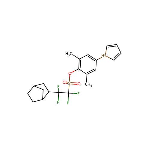 Cc1cc([SH]2C=CC=C2)cc(C)c1OS(=O)(=O)C(F)(F)C(F)(F)C1CC2CCC1C2